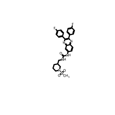 CS(=O)(=O)N1CCCC(CNC(=O)Nc2ccc3nc(-c4ccc(F)cc4)c(-c4ccc(F)cc4)nc3c2)C1